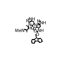 CN/C=C(\C)CC(C)NC(=O)C(Cc1cnc[nH]1)NC(=O)C(Cc1cnc[nH]1)NC(=O)OCC1c2ccccc2-c2ccccc21